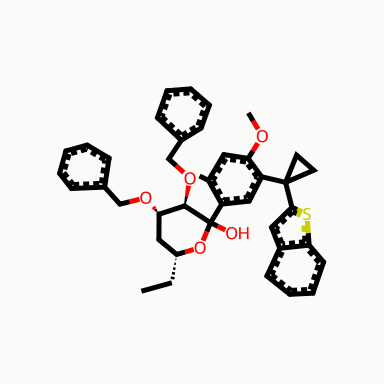 CC[C@@H]1C[C@H](OCc2ccccc2)[C@@H](OCc2ccccc2)C(O)(c2cc(C3(c4cc5ccccc5s4)CC3)c(OC)cc2C)O1